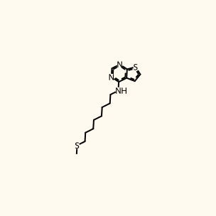 CSCCCCCCCCNc1ncnc2sccc12